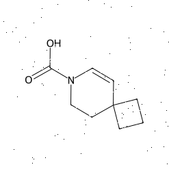 O=C(O)N1C=CC2(CCC2)CC1